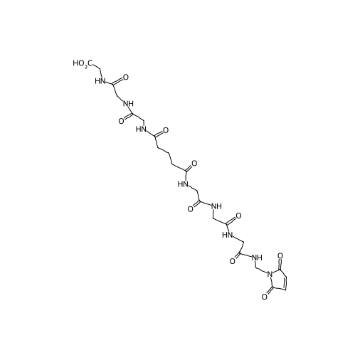 O=C(O)CNC(=O)CNC(=O)CNC(=O)CCCC(=O)NCC(=O)NCC(=O)NCC(=O)NCN1C(=O)C=CC1=O